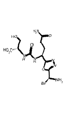 CCC(C)[C@H](N)c1nnc([C@H](CCC(N)=O)NC(=O)N[C@@H](CO)C(=O)O)o1